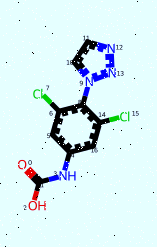 O=C(O)Nc1cc(Cl)c(-n2ccnn2)c(Cl)c1